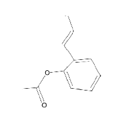 [CH2]/C=C/c1ccccc1OC(C)=O